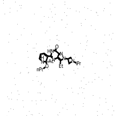 CCCO[C@@]1(C(C)=O)NC=CC=C1c1nc2c(CC)n(C3CN(C(C)C)C3)nc2c(=O)[nH]1